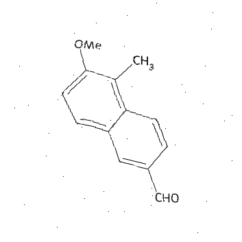 COc1ccc2cc(C=O)ccc2c1C